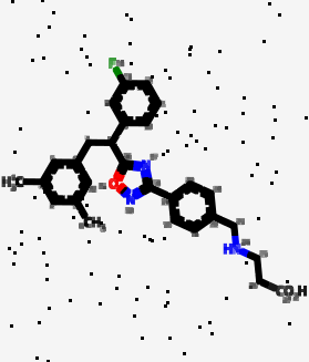 Cc1cc(C)cc(CC(c2cccc(F)c2)c2nc(-c3ccc(CNCCC(=O)O)cc3)no2)c1